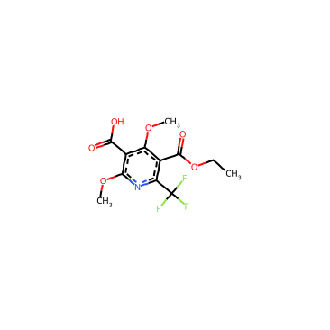 CCOC(=O)c1c(C(F)(F)F)nc(OC)c(C(=O)O)c1OC